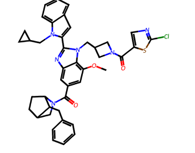 COc1cc(C(=O)N2CC3CCC2C3Cc2ccccc2)cc2nc(-c3cc4ccccc4n3CC3CC3)n(CC3CN(C(=O)c4cnc(Cl)s4)C3)c12